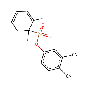 CC1=CC=CCC1(C)S(=O)(=O)Oc1ccc(C#N)c(C#N)c1